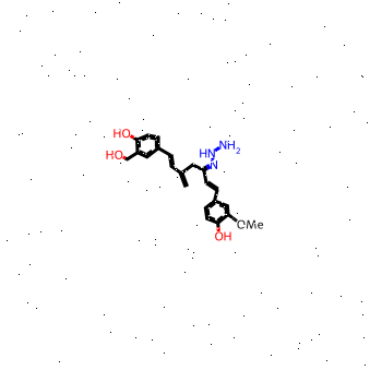 C=C(/C=C/c1ccc(O)c(CO)c1)CC(/C=C/c1ccc(O)c(OC)c1)=N\NN